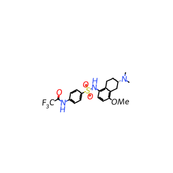 COc1ccc(NS(=O)(=O)c2ccc(NC(=O)C(F)(F)F)cc2)c2c1C[C@@H](N(C)C)CC2